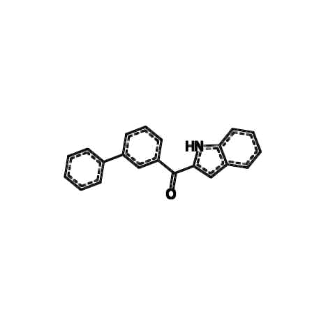 O=C(c1cccc(-c2ccccc2)c1)c1cc2ccccc2[nH]1